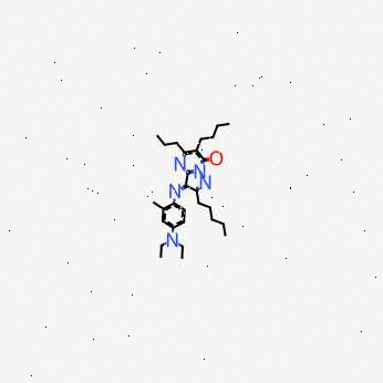 CCCCCC1=Nn2c(nc(CCC)c(CCCC)c2=O)C1=Nc1ccc(N(CC)CC)cc1C